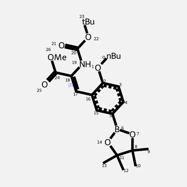 CCCCOc1ccc(B2OC(C)(C)C(C)(C)O2)cc1/C=C(\NC(=O)OC(C)(C)C)C(=O)OC